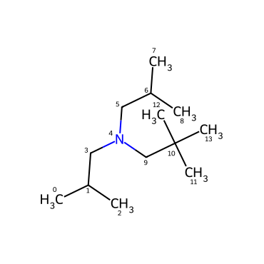 CC(C)CN(CC(C)C)CC(C)(C)C